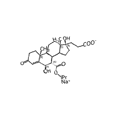 CC(C)OC(=O)[C@H]1C2C(CC[C@@]3(C)C2CC[C@@]3(O)CCC(=O)[O-])[C@@]2(C)CCC(=O)C=C2[C@@H]1O.[Na+]